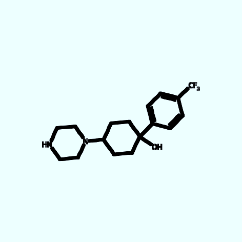 OC1(c2ccc(C(F)(F)F)cc2)CCC(N2CCNCC2)CC1